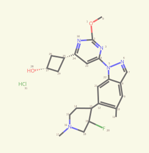 COc1nc(-n2ncc3cc(C)c(C4CCN(C)CC4F)cc32)cc([C@H]2C[C@@H](O)C2)n1.Cl